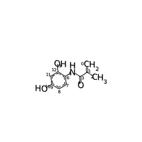 C=C(C)C(=O)Nc1ccc(O)cc1O